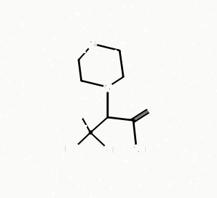 CC(C)(C)C(C(N)=O)N1CC[N]CC1